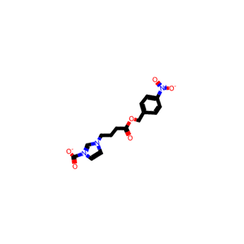 O=C(CCCn1cc[n+](C(=O)[O-])c1)OCc1ccc([N+](=O)[O-])cc1